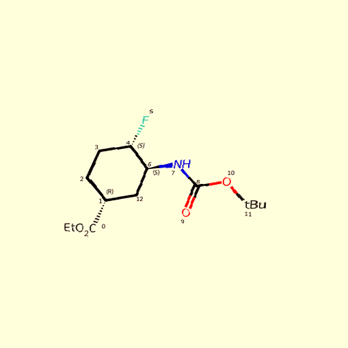 CCOC(=O)[C@@H]1CC[C@H](F)[C@@H](NC(=O)OC(C)(C)C)C1